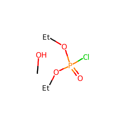 CCOP(=O)(Cl)OCC.CO